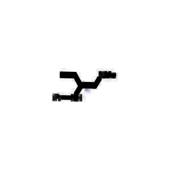 C=C/C(=C\NC)NC(C)C